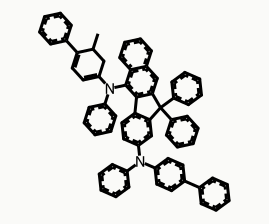 CC1CC(N(c2ccccc2)c2c3c(cc4ccccc24)C(c2ccccc2)(c2ccccc2)c2cc(N(c4ccccc4)c4ccc(-c5ccccc5)cc4)ccc2-3)=CC=C1c1ccccc1